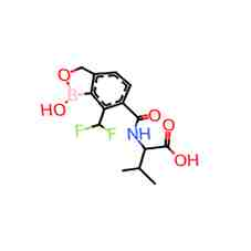 CC(C)C(NC(=O)c1ccc2c(c1C(F)F)B(O)OC2)C(=O)O